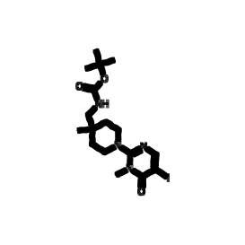 Cn1c(N2CCC(C)(CNC(=O)OC(C)(C)C)CC2)ncc(I)c1=O